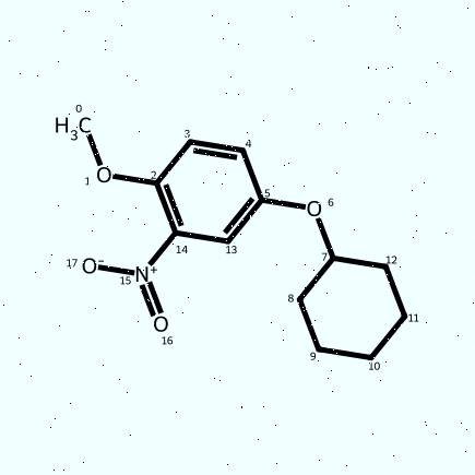 COc1ccc(OC2CCCCC2)cc1[N+](=O)[O-]